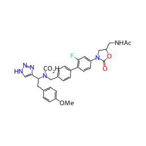 COc1ccc(CC(c2c[nH]nn2)N(Cc2ccc(-c3ccc(N4CC(CNC(C)=O)OC4=O)cc3F)cc2)C(=O)O)cc1